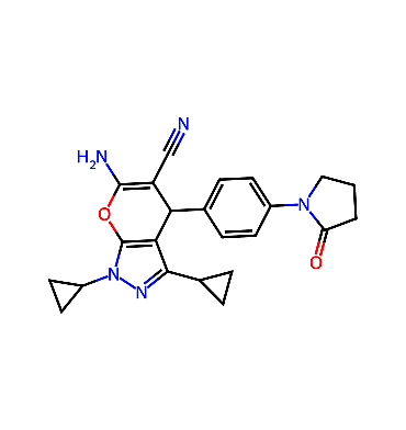 N#CC1=C(N)Oc2c(c(C3CC3)nn2C2CC2)C1c1ccc(N2CCCC2=O)cc1